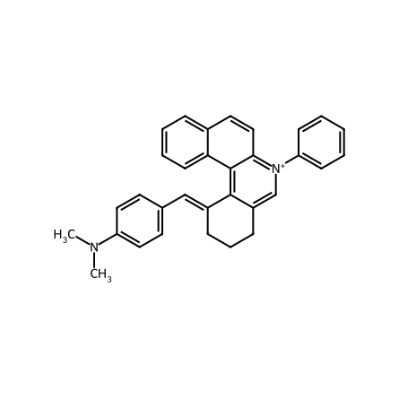 CN(C)c1ccc(C=C2CCCc3c[n+](-c4ccccc4)c4ccc5ccccc5c4c32)cc1